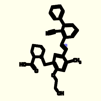 Cc1cc(OCCO)c(CN2CCCCC2C(=O)O)cc1/C=C/c1cccc(-c2ccccc2)c1C#N